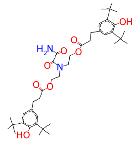 CC(C)(C)c1cc(CCC(=O)OCCN(CCOC(=O)CCc2cc(C(C)(C)C)c(O)c(C(C)(C)C)c2)C(=O)C(N)=O)cc(C(C)(C)C)c1O